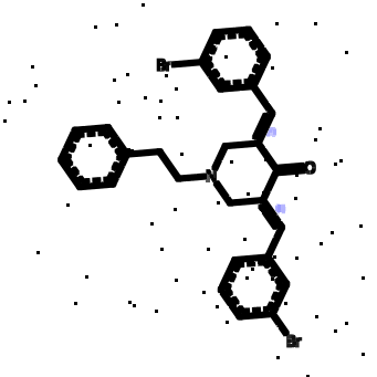 O=C1/C(=C/c2cccc(Br)c2)CN(CCc2ccccc2)C/C1=C\c1cccc(Br)c1